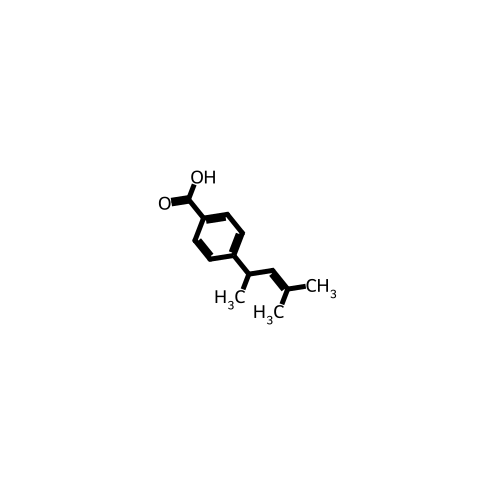 CC(C)=CC(C)c1ccc(C(=O)O)cc1